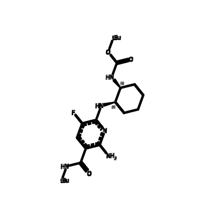 CC(C)(C)NC(=O)c1cc(F)c(N[C@@H]2CCCC[C@@H]2NC(=O)OC(C)(C)C)nc1N